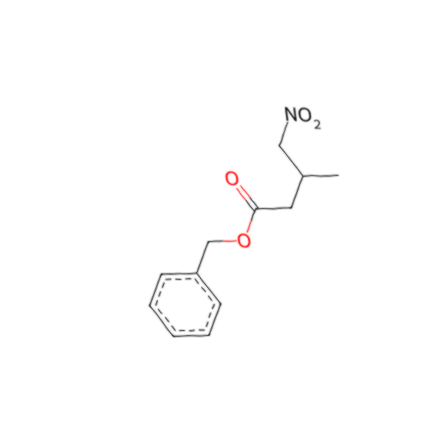 CC(CC(=O)OCc1ccccc1)C[N+](=O)[O-]